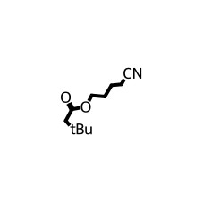 CC(C)(C)CC(=O)OCCCCC#N